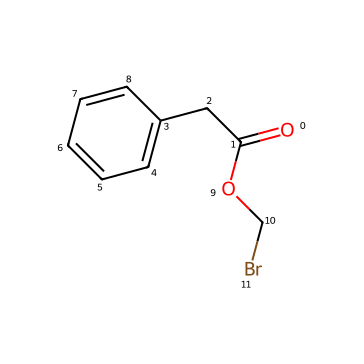 O=C(Cc1ccccc1)OCBr